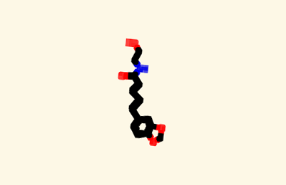 O=C(C=CC=Cc1ccc2c(c1)OCO2)NCCO